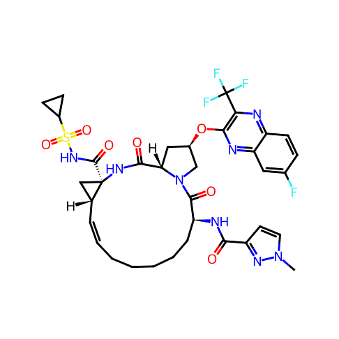 Cn1ccc(C(=O)N[C@H]2CCCCCC=C[C@@H]3C[C@@]3(C(=O)NS(=O)(=O)C3CC3)NC(=O)[C@@H]3C[C@@H](Oc4nc5cc(F)ccc5nc4C(F)(F)F)CN3C2=O)n1